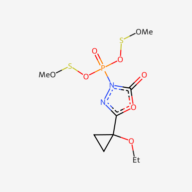 CCOC1(c2nn(P(=O)(OSOC)OSOC)c(=O)o2)CC1